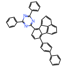 c1ccc(-c2ccc(-c3ccc(-c4nc(-c5ccccc5)nc(-c5ccccc5)n4)c4c3-c3cccc5cccc-4c35)cc2)cc1